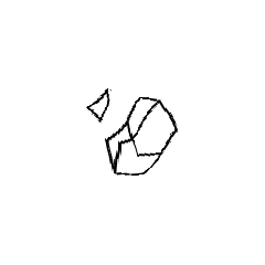 C1[C]2CC3CC1CC(C2)C3.[CH]1CC1